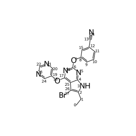 CCc1[nH]c2nc(Oc3cccc(C#N)c3)nc(Oc3cncnc3)c2c1Br